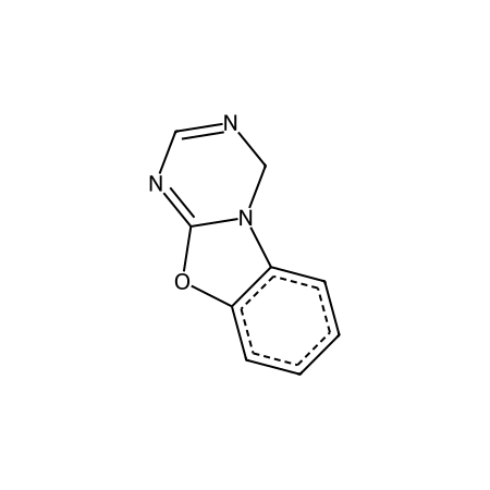 C1=NCN2C(=N1)Oc1ccccc12